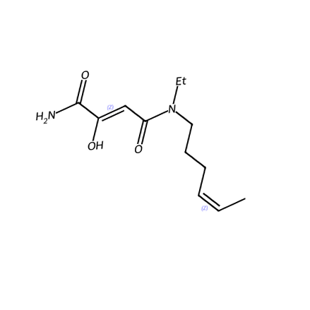 C/C=C\CCCN(CC)C(=O)/C=C(\O)C(N)=O